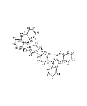 c1ccc(N(c2ccc3ccccc3c2)c2ccc3c(c2)sc2cc4c(cc23)Oc2cccc3c2B4c2ccccc2O3)cc1